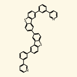 c1cncc(-c2cccc(-c3ccc4sc5ccc(-c6ccc7sc8ccc(-c9cccc(-c%10cccnc%10)c9)cc8c7c6)cc5c4c3)c2)c1